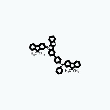 CC1(C)c2ccccc2-c2ccc(N(c3ccccc3)c3ccc(-c4ccc5c(c4)c4sc6ccccc6c4n5-c4ccc5c(c4)C(C)(C)c4ccccc4-5)cc3)cc21